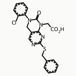 O=C(O)CN1C(=O)N(c2ccccc2Cl)Cc2cnc(SCc3ccccc3)nc21